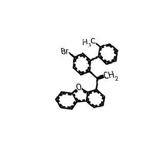 C=C(c1ccc(Br)cc1-c1ccccc1C)c1cccc2c1oc1ccccc12